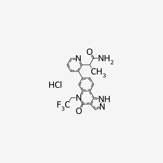 CC(C(N)=O)c1ncccc1-c1ccc2c3[nH]ncc3c(=O)n(CC(F)(F)F)c2c1.Cl